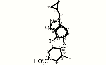 O=C(O)N1CC[C@@H](Oc2ccc3c(nnn3CC3CC3)c2Br)[C@@H](F)C1